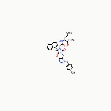 COC(=O)C(CCSC)NC(=O)CN1C(=O)N(Cc2cncn2Cc2ccc(C#N)cc2)C(=O)C1(C)c1cccc2ccccc12